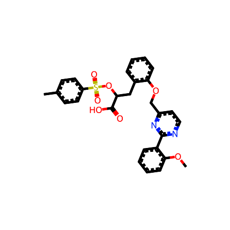 COc1ccccc1-c1nccc(COc2ccccc2CC(OS(=O)(=O)c2ccc(C)cc2)C(=O)O)n1